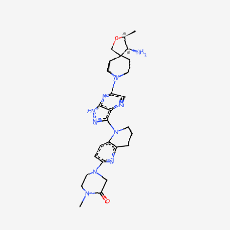 C[C@@H]1OCC2(CCN(c3cnc4c(N5CCCc6nc(N7CCN(C)C(=O)C7)ccc65)n[nH]c4n3)CC2)[C@@H]1N